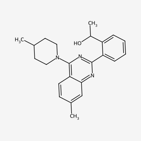 Cc1ccc2c(N3CCC(C)CC3)nc(-c3ccccc3C(C)O)nc2c1